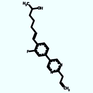 C=CCc1ncc(-c2ccc(/C=C/CCCC(C)O)c(F)c2)cn1